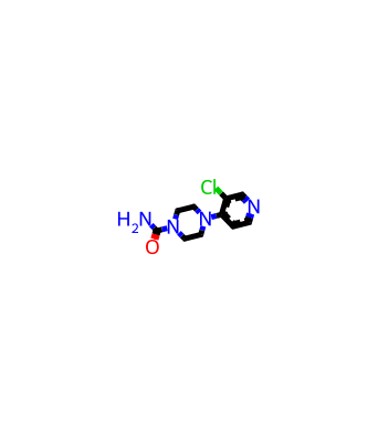 NC(=O)N1CCN(c2ccncc2Cl)CC1